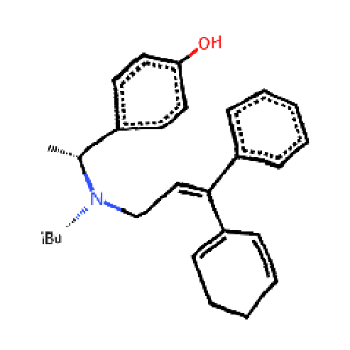 CC[C@@H](C)N(C/C=C(\C1=CCCC=C1)c1ccccc1)[C@H](C)c1ccc(O)cc1